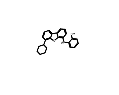 CC(C)(C)c1ccccc1Nc1cccc2c1sc1c(C3CCCCC3)cccc12